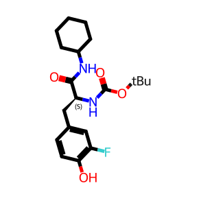 CC(C)(C)OC(=O)N[C@@H](Cc1ccc(O)c(F)c1)C(=O)NC1CCCCC1